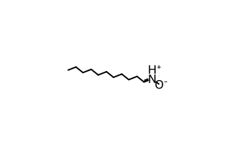 CCCCCCCCCCC=[NH+][O-]